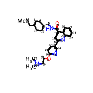 CNC[C@H]1CC[C@H](CNC(=O)c2cc(-c3ccc(OCCN(C)C)nc3)nc3ccccc23)CC1